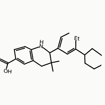 C=C(O)c1ccc2c(c1)CC(C)(C)C(C(/C=C(\CC)C1CCCCC1)=C/C)N2